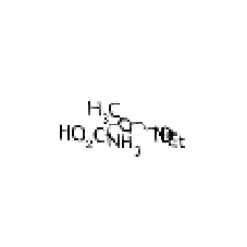 CCON=CCCc1ccc(C[C@H](N)C(=O)O)c(C)c1